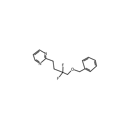 FC(F)(CCc1ncccn1)COCc1ccccc1